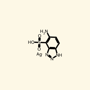 Nc1ccc2[nH]nnc2c1S(=O)(=O)O.[Ag]